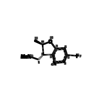 CNC[C@H]1c2ncc(F)cc2O[C@@H]1C